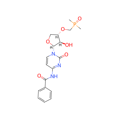 CP(C)(=O)CO[C@H]1CO[C@@H](n2ccc(NC(=O)c3ccccc3)nc2=O)[C@@H]1O